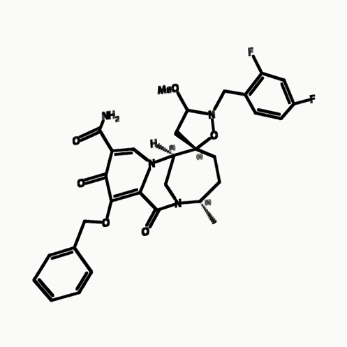 COC1C[C@]2(CC[C@H](C)N3C[C@H]2n2cc(C(N)=O)c(=O)c(OCc4ccccc4)c2C3=O)ON1Cc1ccc(F)cc1F